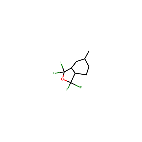 CC1CCC2C(C1)C(F)(F)OC2(F)F